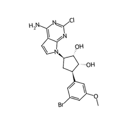 COc1cc(Br)cc([C@H]2C[C@@H](n3ccc4c(N)nc(Cl)nc43)[C@H](O)[C@@H]2O)c1